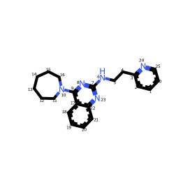 c1ccc(CCNc2nc(N3CCCCCC3)c3ccccc3n2)nc1